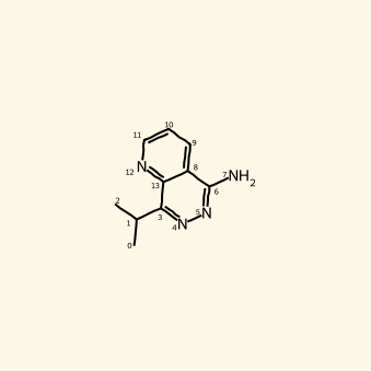 CC(C)c1nnc(N)c2cccnc12